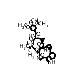 COc1cc(C(=O)N[C@H]2Cc3ccc4c(c3)[C@]35c6cccc(c6NC3O4)-c3cccc4[nH]cc(c34)-c3cnc(o3)-c3nc(oc35)[C@H](C(C)C)NC2=O)cc(OC)c1OC